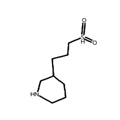 O=[SH](=O)CCCC1CCCNC1